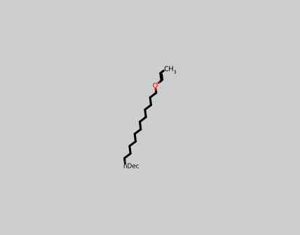 CC=COCCCCCCCCCCCCCCCCCCCCCC